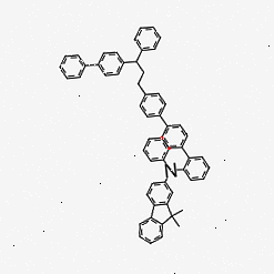 CC1(C)c2ccccc2-c2ccc(N(c3ccccc3)c3ccccc3-c3ccc(-c4ccc(CCC(c5ccccc5)c5ccc(-c6ccccc6)cc5)cc4)cc3)cc21